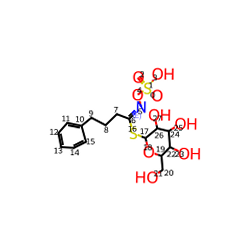 O=S(=O)(O)O/N=C(\CCCc1ccccc1)SC1OC(CO)C(O)C(O)C1O